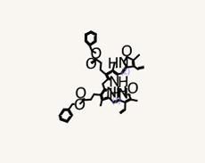 C=CC1=C(C)C(=O)N/C1=C\c1[nH]c(Cc2[nH]c(/C=C3\NC(=O)C(C)=C3C=C)c(C)c2CCC(=O)OCc2ccccc2)c(CCC(=O)OCc2ccccc2)c1C